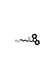 CCCCCNCC1c2ccccc2-c2ccccc21